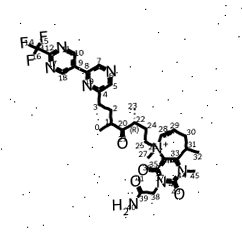 CC(CCc1cncc(-c2cnc(C(F)(F)F)nc2)n1)C(=O)[C@H](C)CC[N+]1(C)C=CCC(C)c2c1c(=O)n(CC(N)=O)c(=O)n2C